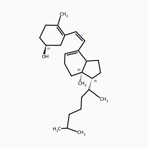 CC1=C(/C=C\C2=CCC[C@@]3(C)C2CC[C@@H]3C(C)CCCC(C)C)C[C@@H](O)CC1